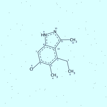 CCc1c(C)c(Cl)cc2[nH]nc(C)c12